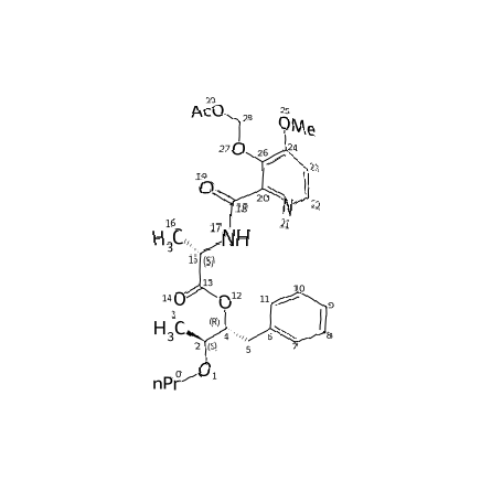 CCCO[C@@H](C)[C@@H](Cc1ccccc1)OC(=O)[C@H](C)NC(=O)c1nccc(OC)c1OCOC(C)=O